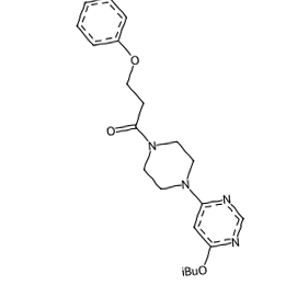 CC(C)COc1cc(N2CCN(C(=O)CCOc3ccccc3)CC2)ncn1